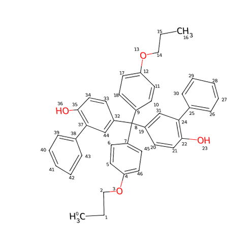 CCCOc1ccc(C(c2ccc(OCCC)cc2)(c2ccc(O)c(-c3ccccc3)c2)c2ccc(O)c(-c3ccccc3)c2)cc1